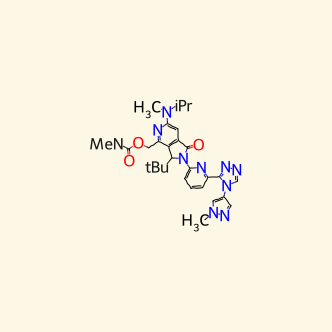 CNC(=O)OCc1nc(N(C)C(C)C)cc2c1C(C(C)(C)C)N(c1cccc(-c3nncn3-c3cnn(C)c3)n1)C2=O